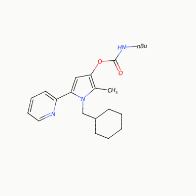 CCCCNC(=O)Oc1cc(-c2ccccn2)n(CC2CCCCC2)c1C